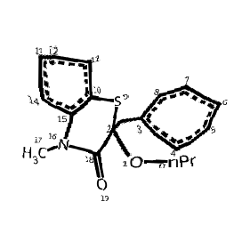 CCCOC1(c2ccccc2)Sc2ccccc2N(C)C1=O